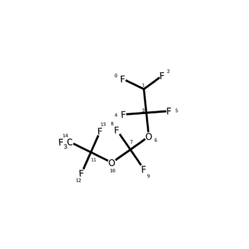 FC(F)C(F)(F)OC(F)(F)OC(F)(F)C(F)(F)F